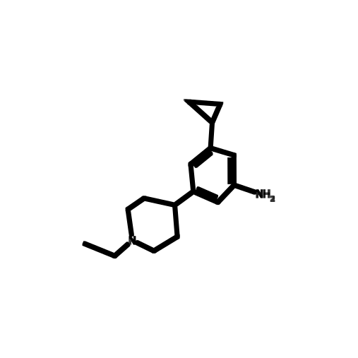 CCN1CCC(c2cc(N)cc(C3CC3)c2)CC1